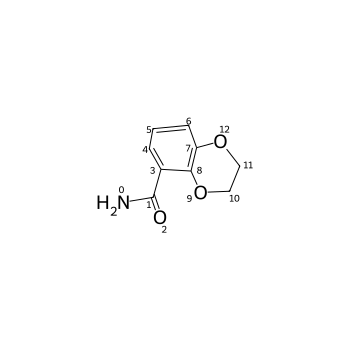 NC(=O)c1cccc2c1OCCO2